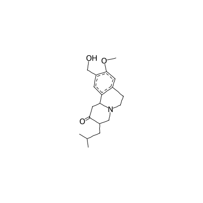 COc1cc2c(cc1CO)C1CC(=O)C(CC(C)C)CN1CC2